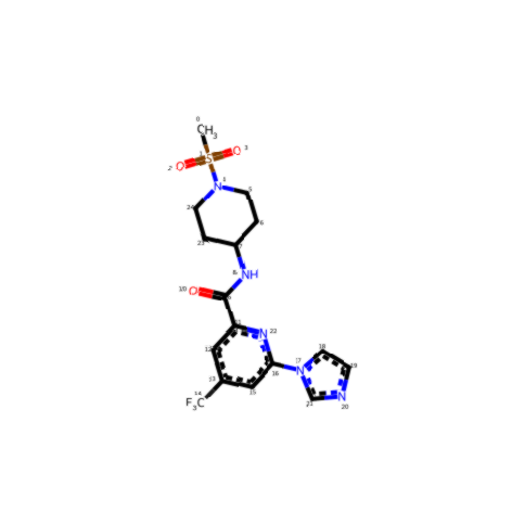 CS(=O)(=O)N1CCC(NC(=O)c2cc(C(F)(F)F)cc(-n3ccnc3)n2)CC1